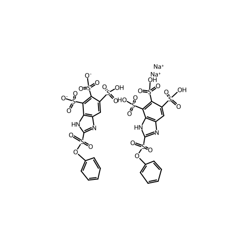 O=S(=O)(O)c1cc2nc(S(=O)(=O)Oc3ccccc3)[nH]c2c(S(=O)(=O)O)c1S(=O)(=O)O.O=S(=O)([O-])c1c(S(=O)(=O)O)cc2nc(S(=O)(=O)Oc3ccccc3)[nH]c2c1S(=O)(=O)[O-].[Na+].[Na+]